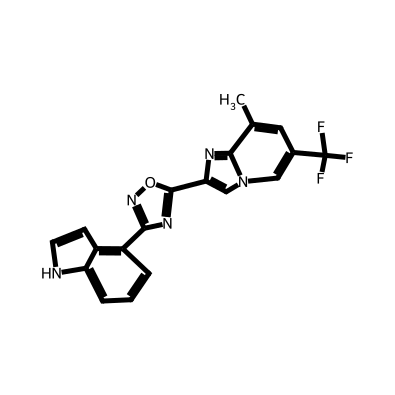 Cc1cc(C(F)(F)F)cn2cc(-c3nc(-c4cccc5[nH]ccc45)no3)nc12